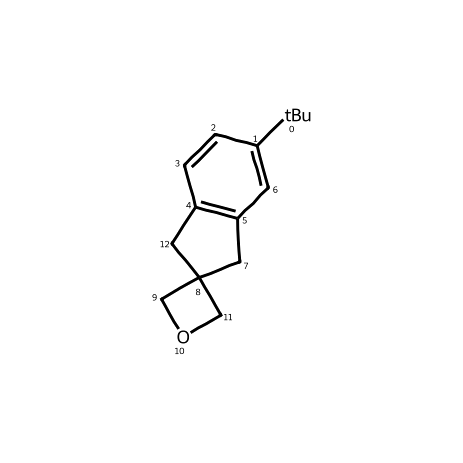 CC(C)(C)c1ccc2c(c1)CC1(COC1)C2